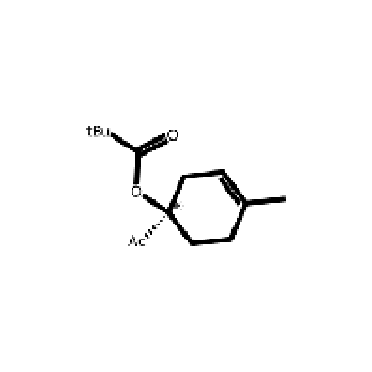 CC(=O)[C@]1(OC(=O)C(C)(C)C)CC=C(C)CC1